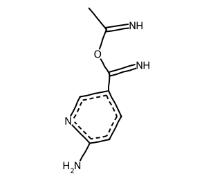 CC(=N)OC(=N)c1ccc(N)nc1